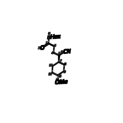 CCCCCCC(=O)CCC(C#N)[C@H]1CC[C@H](OC)CC1